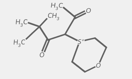 CC(=O)C(C(=O)C(C)(C)C)[S+]1CCOCC1